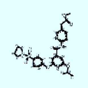 COC(=O)Cc1ccc(NC(=O)c2cc(Oc3ccc(S(=O)(=O)N4CCCC4)cc3)nc(OC(C)C)c2)nc1